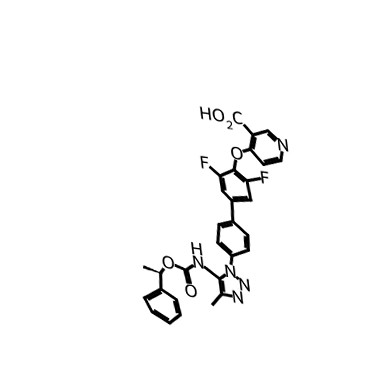 Cc1nnn(-c2ccc(-c3cc(F)c(Oc4ccncc4C(=O)O)c(F)c3)cc2)c1NC(=O)O[C@H](C)c1ccccc1